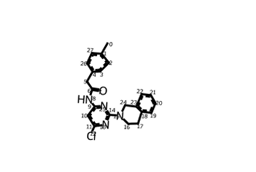 Cc1ccc(CC(=O)Nc2cc(Cl)nc(N3CCc4ccccc4C3)n2)cc1